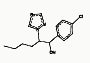 CCCCC(C(O)c1ccc(Cl)cc1)n1cncn1